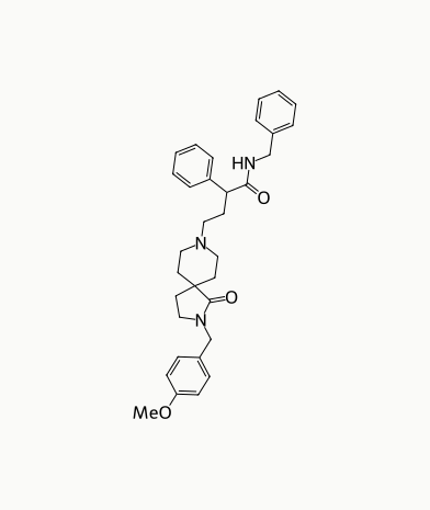 COc1ccc(CN2CCC3(CCN(CCC(C(=O)NCc4ccccc4)c4ccccc4)CC3)C2=O)cc1